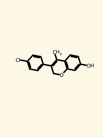 CC1=C(c2ccc(Cl)cc2)COc2cc(O)ccc21